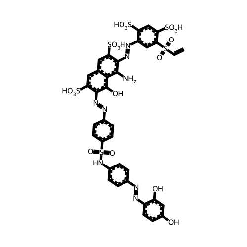 C=CS(=O)(=O)c1cc(/N=N/c2c(S(=O)(=O)O)cc3cc(S(=O)(=O)O)c(/N=N/c4ccc(S(=O)(=O)Nc5ccc(/N=N/c6ccc(O)cc6O)cc5)cc4)c(O)c3c2N)c(S(=O)(=O)O)cc1S(=O)(=O)O